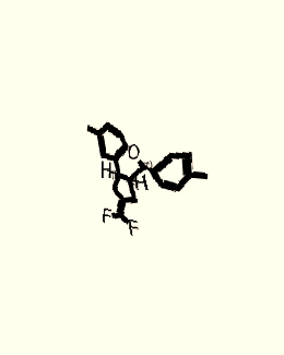 Cc1ccc([C@@H]2Oc3ccc(C)cc3[C@@H]3CC(=C(F)F)C[C@@H]32)cc1